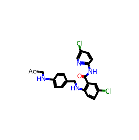 CC(=O)CNc1ccc(CNc2ccc(Cl)cc2C(=O)Nc2ccc(Cl)cn2)cc1